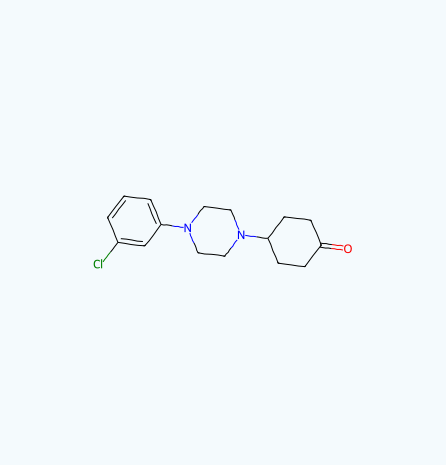 O=C1CCC(N2CCN(c3cccc(Cl)c3)CC2)CC1